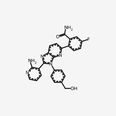 NC(=O)c1cc(F)ccc1-c1ccc2nc(-c3cccnc3N)n(-c3ccc(CO)cc3)c2n1